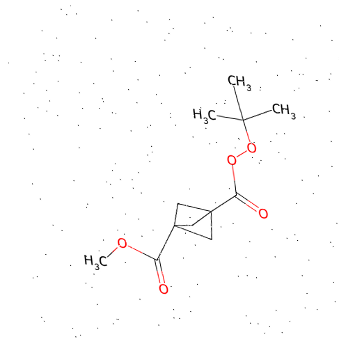 COC(=O)C12CC(C(=O)OOC(C)(C)C)(C1)C2